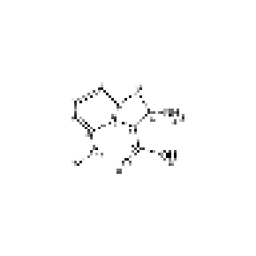 COc1cccc2c1C(C(=O)O)C(N)C2